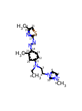 CCN(CCn1cc[n+](C)c1)c1ccc(/N=N/c2nc(C)cs2)c(C)c1